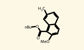 CCCCOC(=O)c1c(OC)ccc2ccc(C)cc12